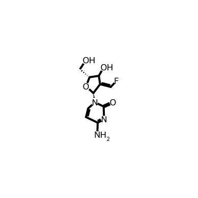 Nc1ccn([C@@H]2O[C@H](CO)C(O)C2=CF)c(=O)n1